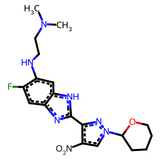 CN(C)CCNc1cc2[nH]c(-c3nn(C4CCCCO4)cc3[N+](=O)[O-])nc2cc1F